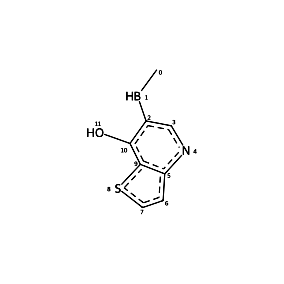 CBc1cnc2ccsc2c1O